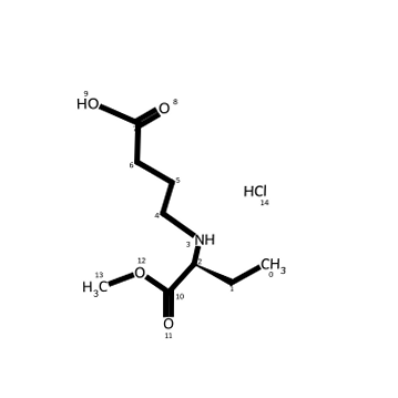 CC[C@H](NCCCC(=O)O)C(=O)OC.Cl